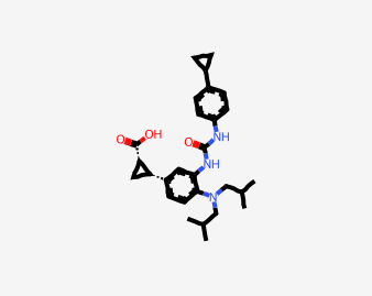 CC(C)CN(CC(C)C)c1ccc([C@@H]2C[C@@H]2C(=O)O)cc1NC(=O)Nc1ccc(C2CC2)cc1